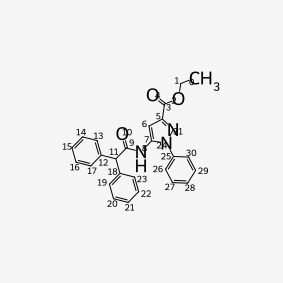 CCOC(=O)c1cc(NC(=O)C(c2ccccc2)c2ccccc2)n(-c2ccccc2)n1